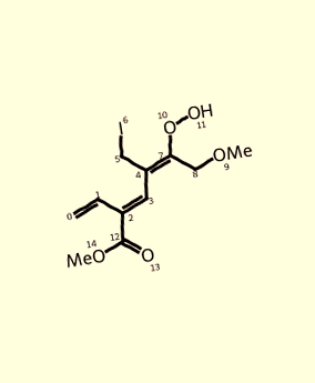 C=C/C(=C\C(CI)=C(/COC)OO)C(=O)OC